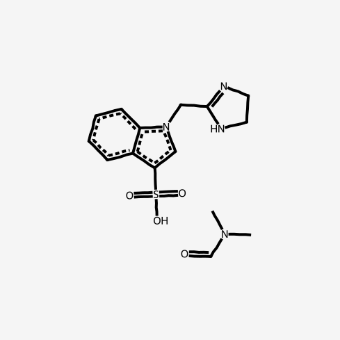 CN(C)C=O.O=S(=O)(O)c1cn(CC2=NCCN2)c2ccccc12